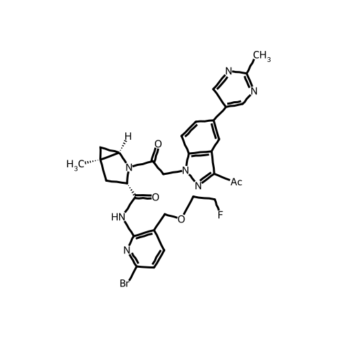 CC(=O)c1nn(CC(=O)N2[C@H](C(=O)Nc3nc(Br)ccc3COCCF)C[C@@]3(C)C[C@@H]23)c2ccc(-c3cnc(C)nc3)cc12